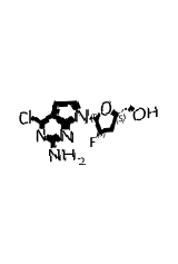 Nc1nc(Cl)c2ccn([C@@H]3O[C@H](CO)C[C@@H]3F)c2n1